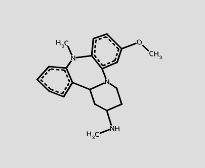 CNC1CCN2c3cc(OC)ccc3N(C)c3ccccc3C2C1